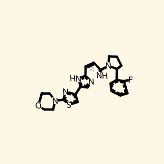 N=C(/C=C\c1ncc(-c2csc(N3CCOCC3)n2)[nH]1)N1CCCC1c1ccccc1F